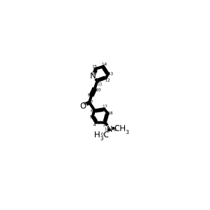 CN(C)c1ccc(C(=O)C#Cc2ccccn2)cc1